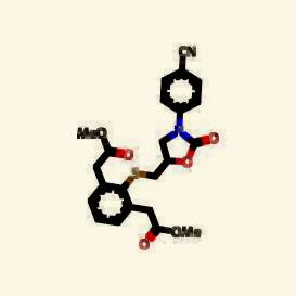 COC(=O)Cc1cccc(CC(=O)OC)c1SCC1CN(c2ccc(C#N)cc2)C(=O)O1